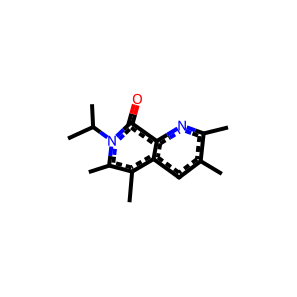 Cc1cc2c(C)c(C)n(C(C)C)c(=O)c2nc1C